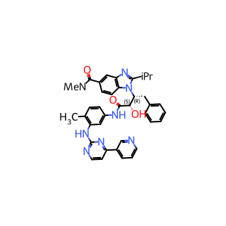 CNC(=O)c1ccc2c(c1)nc(C(C)C)n2[C@H](Cc1ccccc1)[C@H](O)C(=O)Nc1ccc(C)c(Nc2nccc(-c3cccnc3)n2)c1